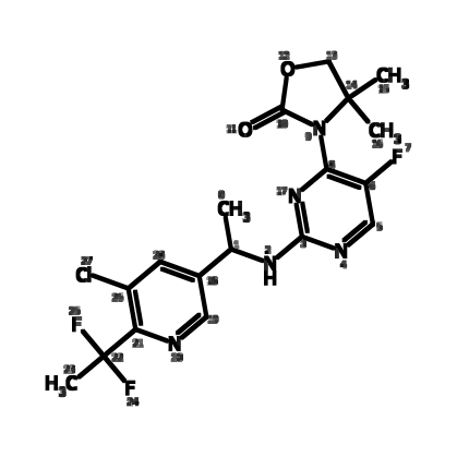 CC(Nc1ncc(F)c(N2C(=O)OCC2(C)C)n1)c1cnc(C(C)(F)F)c(Cl)c1